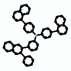 c1ccc(-c2cc3ccccc3cc2-c2cccc(N(c3ccc(-c4cccc5ccccc45)cc3)c3ccc(-c4cccc5ccccc45)cc3)c2)cc1